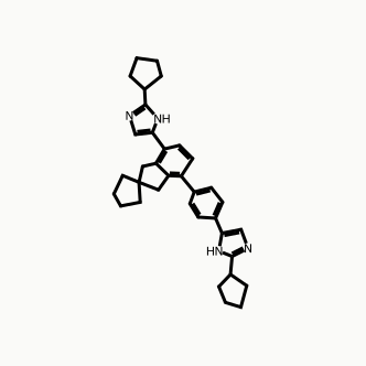 c1cc(-c2ccc(-c3cnc(C4CCCC4)[nH]3)c3c2CC2(CCCC2)C3)ccc1-c1cnc(C2CCCC2)[nH]1